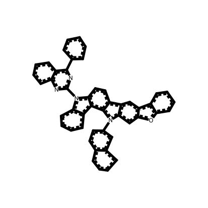 c1ccc(-c2nc(-n3c4ccccc4c4c3ccc3c5cc6c(cc5n(-c5ccc7ccccc7c5)c34)oc3ccccc36)nc3ccccc23)cc1